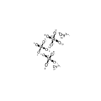 O=[Se](=O)([O-])[O-].O=[Se](=O)([O-])[O-].O=[Se](=O)([O-])[O-].[Dy+3].[Dy+3]